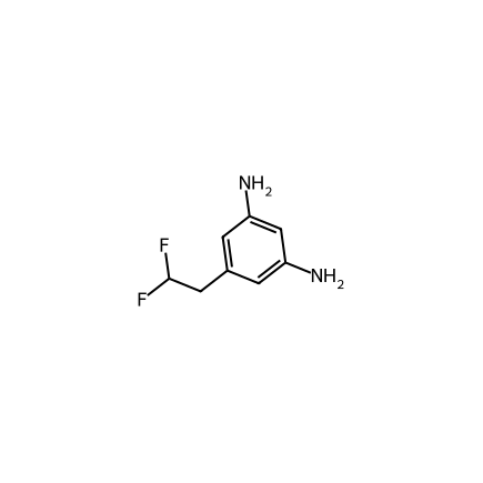 Nc1cc(N)cc(CC(F)F)c1